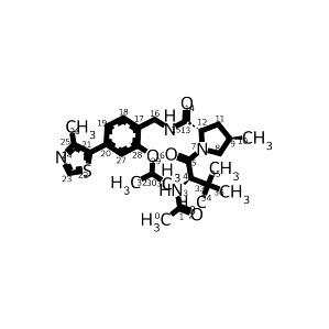 CC(=O)N[C@H](C(=O)N1C[C@H](C)C[C@H]1C(=O)NCc1ccc(-c2scnc2C)cc1OC(C)C)C(C)(C)C